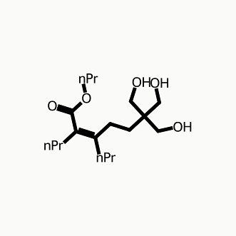 CCCOC(=O)C(CCC)=C(CCC)CCC(CO)(CO)CO